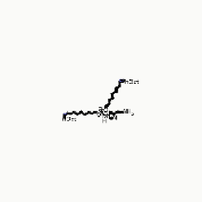 CCCCCCCC/C=C\CCCCCCCCOP(=O)(Nn1cnc(CCN)c1)OCCCCCCCC/C=C\CCCCCCCC